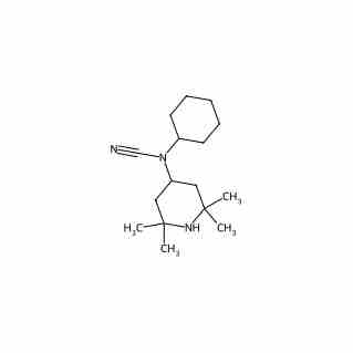 CC1(C)CC(N(C#N)C2CCCCC2)CC(C)(C)N1